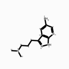 Bc1cnc2[nH]nc(CCCN(C)C)c2c1